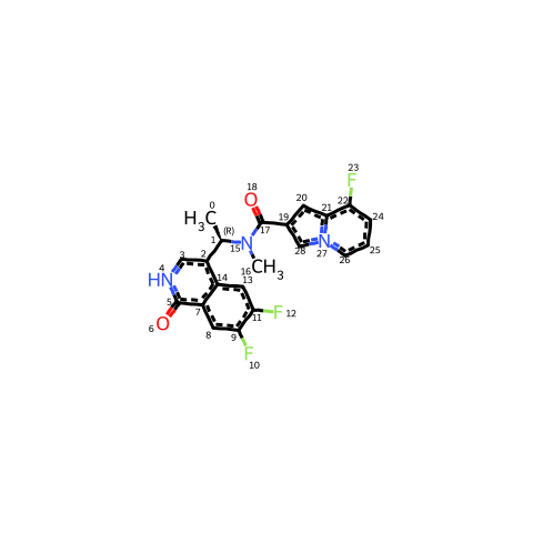 C[C@H](c1c[nH]c(=O)c2cc(F)c(F)cc12)N(C)C(=O)c1cc2c(F)cccn2c1